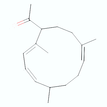 CC(=O)C1CC/C(C)=C\CCC(C)/C=C\C=C\1C